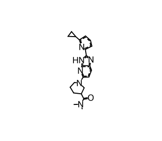 CN(C)C(=O)C1CCCN(c2ccc3nc(-c4cccc(C5CC5)n4)[nH]c3n2)C1